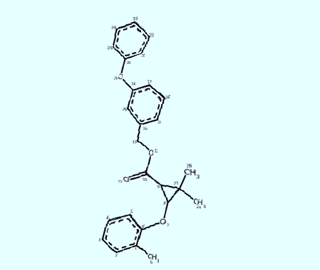 Cc1ccccc1OC1C(C(=O)OCc2cccc(Oc3ccccc3)c2)C1(C)C